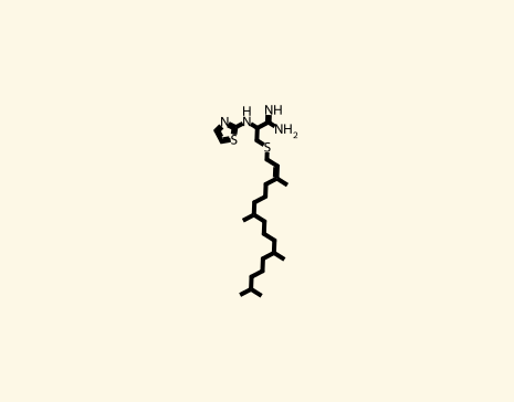 CC(=CCSCC(Nc1nccs1)C(=N)N)CCCC(C)CCCC(C)CCCC(C)C